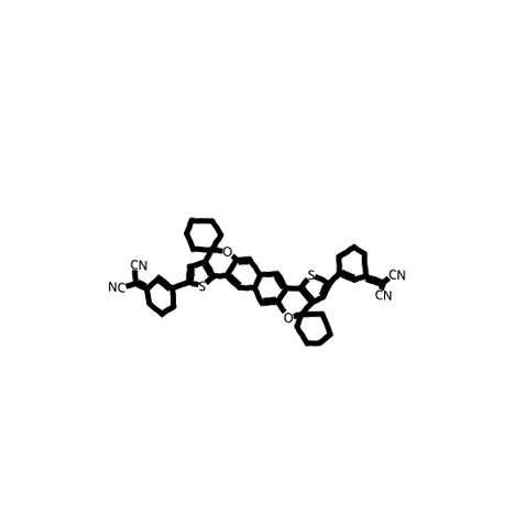 N#CC(C#N)=C1C=C(c2cc3c(s2)C2=CC4C=C5OC6(CCCCC6)c6cc(C7=CC(=C(C#N)C#N)CCC7)sc6C5=CC4C=C2OC32CCCCC2)CCC1